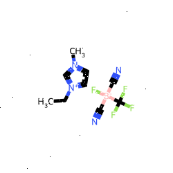 CC[n+]1ccn(C)c1.N#C[B-](F)(C#N)C(F)(F)F